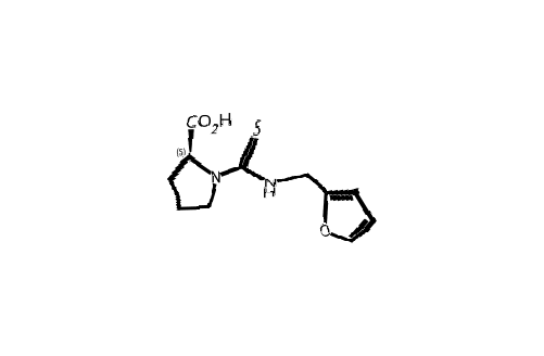 O=C(O)[C@@H]1CCCN1C(=S)NCc1ccco1